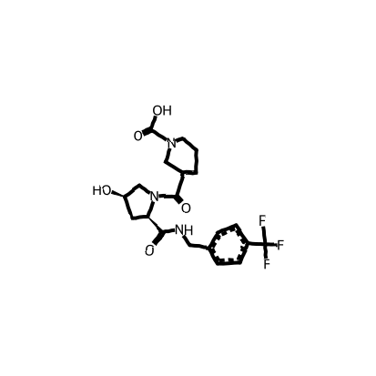 O=C(NCc1ccc(C(F)(F)F)cc1)[C@H]1C[C@@H](O)CN1C(=O)C1CCCN(C(=O)O)C1